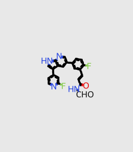 O=CNC(=O)C=Cc1cc(-c2cnc3[nH]cc(-c4ccnc(F)c4)c3c2)ccc1F